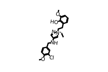 CC[N+]1(CCc2cccc(OC)c2O)C=C(NCc2ccc(OC)c(Cl)c2)C=N1